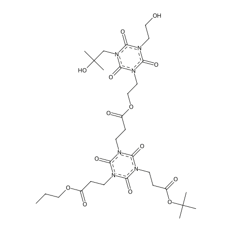 CCCOC(=O)CCn1c(=O)n(CCC(=O)OCCn2c(=O)n(CCO)c(=O)n(CC(C)(C)O)c2=O)c(=O)n(CCC(=O)OC(C)(C)C)c1=O